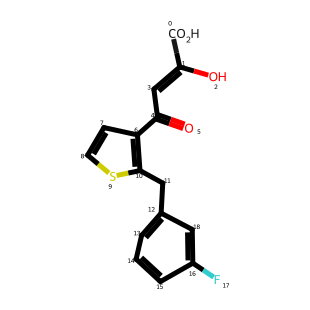 O=C(O)C(O)=CC(=O)c1ccsc1Cc1cccc(F)c1